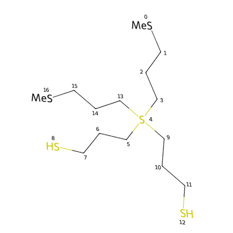 CSCCCS(CCCS)(CCCS)CCCSC